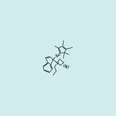 CCC[Si]1([C]2([Ti+2][C]3=C(C)C(C)=C(C)C3(C)C)C=Cc3ccccc32)CCC1.[Cl-].[Cl-]